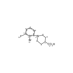 O=C(O)C1CCN(c2cccc(F)c2Br)CC1